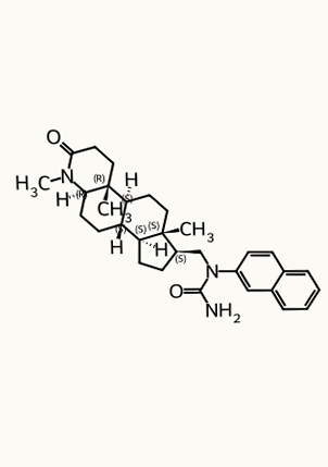 CN1C(=O)CC[C@]2(C)[C@H]3CC[C@]4(C)[C@@H](CN(C(N)=O)c5ccc6ccccc6c5)CC[C@H]4[C@@H]3CC[C@@H]12